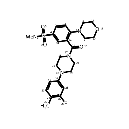 CNS(=O)(=O)c1ccc(N2CCOCC2)c(C(=O)N2CCN(c3ccc(C)c(F)c3)CC2)c1